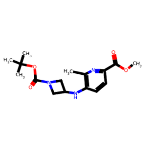 COC(=O)c1ccc(NC2CN(C(=O)OC(C)(C)C)C2)c(C)n1